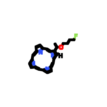 [2H]C1=C(C(C)OCCCCF)C2=CC3=NC(=CC4=NC(=CC5=NC(=CC1=N2)C=C5)C=C4)C=C3